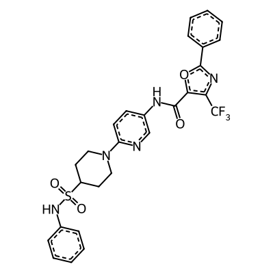 O=C(Nc1ccc(N2CCC(S(=O)(=O)Nc3ccccc3)CC2)nc1)c1oc(-c2ccccc2)nc1C(F)(F)F